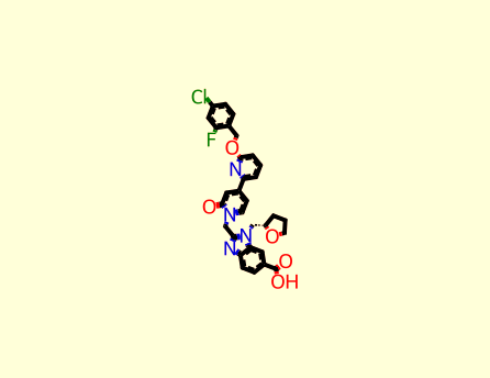 O=C(O)c1ccc2nc(Cn3ccc(-c4cccc(OCc5ccc(Cl)cc5F)n4)cc3=O)n(C[C@@H]3CCCO3)c2c1